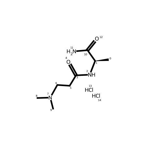 C[C@@H](NC(=O)CCN(C)C)C(N)=O.Cl.Cl